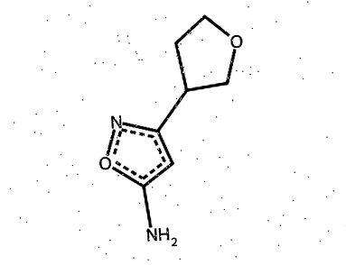 Nc1cc(C2CCOC2)no1